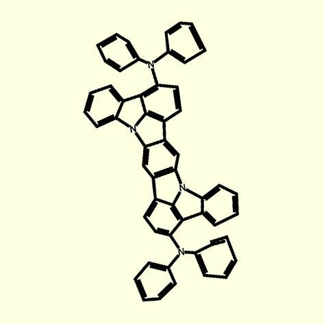 c1ccc(N(c2ccccc2)c2ccc3c4cc5c(cc4n4c6ccccc6c2c34)c2ccc(N(c3ccccc3)c3ccccc3)c3c4ccccc4n5c23)cc1